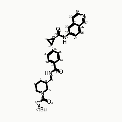 CC(C)(C)OC(=O)N1CCC[C@@H](CNC(=O)c2ccc([C@@H]3C[C@H]3C(=O)Nc3ccc4cnccc4c3)cc2)C1